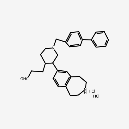 Cl.Cl.O=CCCC1CCN(Cc2ccc(-c3ccccc3)cc2)CC1c1ccc2c(c1)CCNCC2